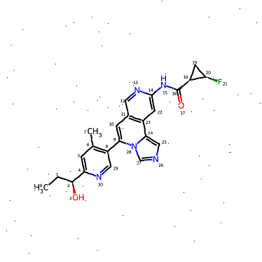 CC[C@H](O)c1cc(C)c(-c2cc3cnc(NC(=O)[C@H]4C[C@H]4F)cc3c3cncn23)cn1